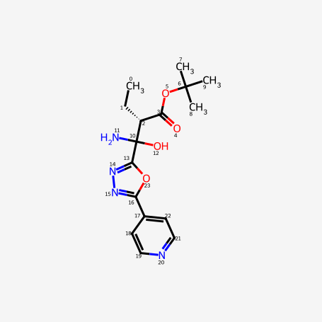 CC[C@H](C(=O)OC(C)(C)C)C(N)(O)c1nnc(-c2ccncc2)o1